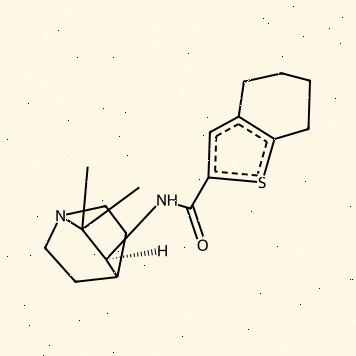 CC1(C)[C@@H](NC(=O)c2cc3c(s2)CCCC3)C2CCN1CC2